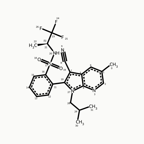 Cc1cnc2c(c1)c(C#N)c(-c1ccccc1S(=O)(=O)N[C@@H](C)C(F)(F)F)n2CC(C)C